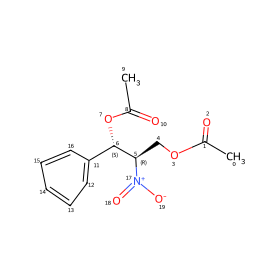 CC(=O)OC[C@H]([C@@H](OC(C)=O)c1ccccc1)[N+](=O)[O-]